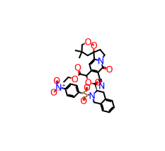 CCOC(=O)C(OC(=O)[C@H]1Cc2ccccc2CN1S(=O)(=O)c1ccc([N+](=O)[O-])cc1)c1cc2n(c(=O)c1C#N)CCC21CC(C)(C)COO1